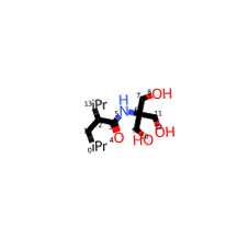 CC(C)CC(C(=O)NC(CO)(CO)CO)C(C)C